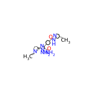 CC=CN1CCC[C@@H](c2nc(-c3ccc(C(=O)Nc4cc(CC)ccn4)cc3)c(C(N)=O)n2N)C1